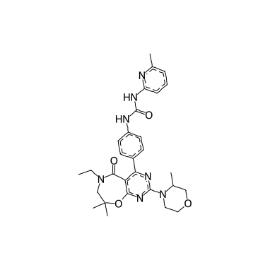 CCN1CC(C)(C)Oc2nc(N3CCOCC3C)nc(-c3ccc(NC(=O)Nc4cccc(C)n4)cc3)c2C1=O